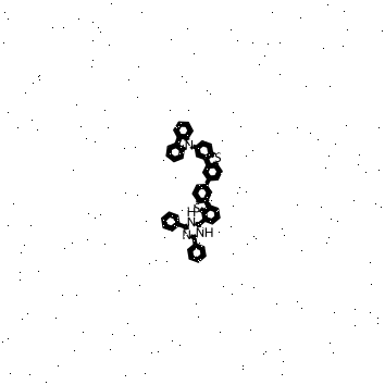 c1ccc(C2=NC(c3ccccc3)NC(c3cccc4c3sc3ccc(-c5ccc6sc7ccc(-n8c9ccccc9c9ccccc98)cc7c6c5)cc34)N2)cc1